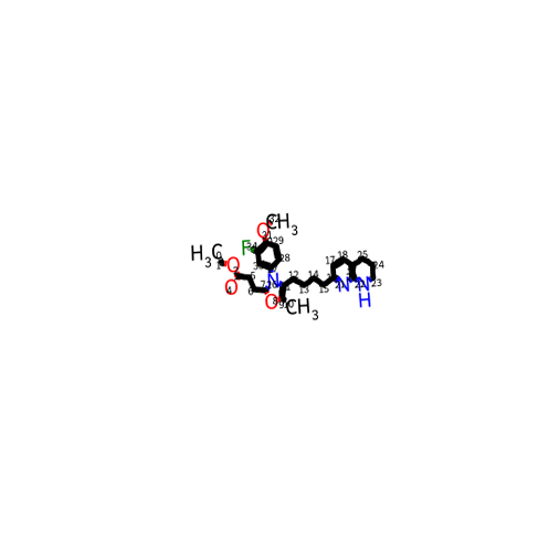 CCOC(=O)CCC1OC(C)=C(CCCCc2ccc3c(n2)NCCC3)N1c1ccc(OC)c(F)c1